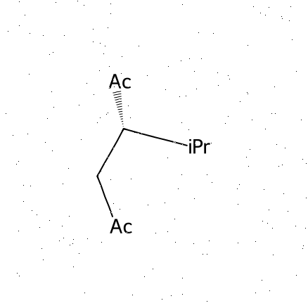 CC(=O)C[C@H](C(C)=O)C(C)C